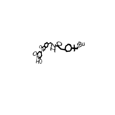 CC(C)(C)CC(C)(C)C1CCCC(CC(=O)NCc2ccc3c(c2)CN(C2CC(=O)NC(=O)C2)C3=O)CC1